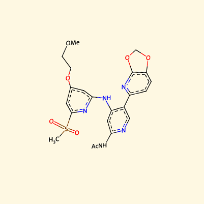 COCCOc1cc(Nc2cc(NC(C)=O)ncc2-c2ccc3c(n2)OCO3)nc(S(C)(=O)=O)c1